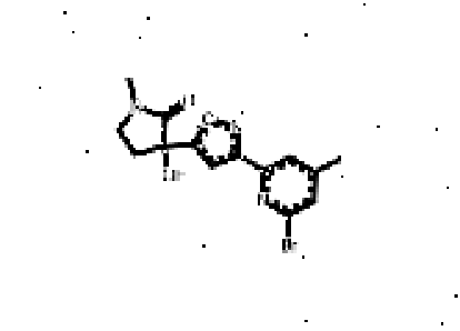 Cc1cc(Br)nc(-c2cc(C3(O)CCN(C)C3=O)on2)c1